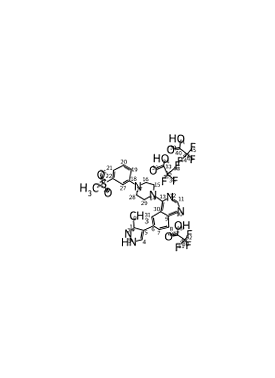 Cc1n[nH]cc1-c1ccc2ncnc(N3CCN(c4cccc(S(C)(=O)=O)c4)CC3)c2c1.O=C(O)C(F)(F)F.O=C(O)C(F)(F)F.O=C(O)C(F)(F)F